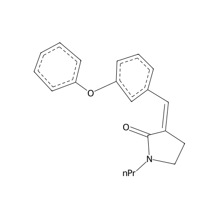 CCCN1CCC(=Cc2cccc(Oc3ccccc3)c2)C1=O